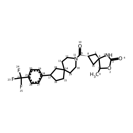 CC1OC(=O)N[C@]12C[C@@H](C(=O)N1CCC3(CCC(c4ccc(C(F)(F)F)cc4)C3)CC1)C2